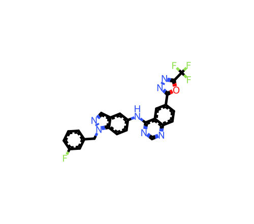 Fc1cccc(Cn2ncc3cc(Nc4ncnc5ccc(-c6nnc(C(F)(F)F)o6)cc45)ccc32)c1